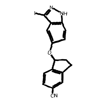 N#Cc1ccc2c(c1)CCC2Oc1ccc2[nH]nc(I)c2c1